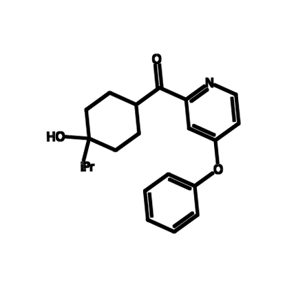 CC(C)C1(O)CCC(C(=O)c2cc(Oc3ccccc3)ccn2)CC1